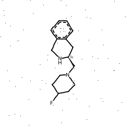 FC1CCN(C[C@@H]2Cc3ccccc3CN2)CC1